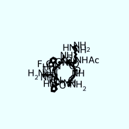 C=C(N)C1CCCNC(=O)CC[C@H](NC(=O)[C@H](CCCNC(=N)N)NC(C)=O)C(=O)N[C@@H](CCN)C(=O)N[C@H](Cc2ccccc2C(F)(F)F)C(=O)N[C@@H](CCCNC(=N)N)C(=O)N[C@@H](Cc2c[nH]c3ccccc23)C(=O)N1